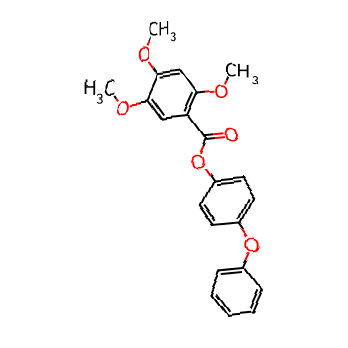 COc1cc(OC)c(C(=O)Oc2ccc(Oc3ccccc3)cc2)cc1OC